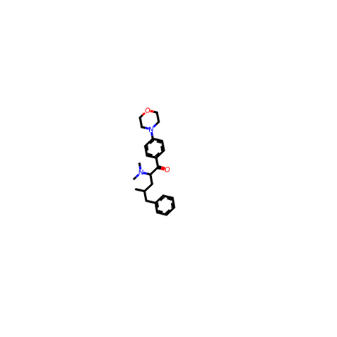 CC(Cc1ccccc1)CC(C(=O)c1ccc(N2CCOCC2)cc1)N(C)C